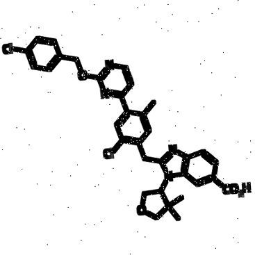 Cc1cc(Cc2nc3ccc(C(=O)O)cc3n2C2COCC2(C)C)c(Cl)cc1-c1ccnc(OCc2ccc(Cl)cc2)n1